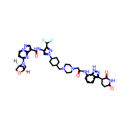 O=C1CCC(c2n[nH]c3c(NC(=O)CN4CCN(CC5CCC(n6cc(NC(=O)c7cnn8ccc(N9C[C@@H]%10C[C@H]9CO%10)nc78)c(C(F)F)n6)CC5)CC4)cccc23)C(=O)N1